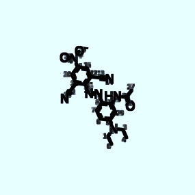 CCN(CC)c1ccc(/N=N/c2c(C#N)cc([N+](=O)[O-])cc2C#N)c(NC(C)=O)c1